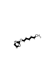 CCCCCCOC1=NCCO1